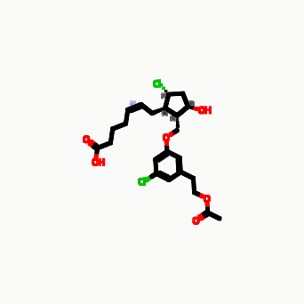 CC(=O)OCCc1cc(Cl)cc(OC[C@@H]2[C@@H](C/C=C\CCCC(=O)O)[C@H](Cl)C[C@H]2O)c1